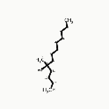 CCCCCCCCC(C)(I)CCCC